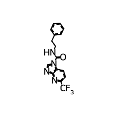 O=C(NCCc1ccccc1)n1cnc2nc(C(F)(F)F)ccc21